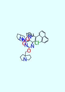 CC(C)(C)OC(=O)N1C2CCC1CN(c1nc(OCC34CCCN3CCC4)nc3cc(-c4cccc5cccc(Cl)c45)cnc13)C2